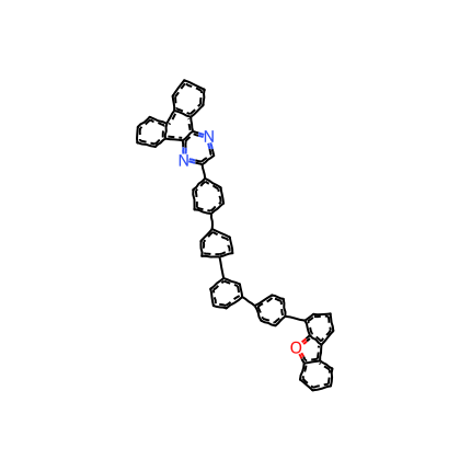 c1cc(-c2ccc(-c3ccc(-c4cnc5c6ccccc6c6ccccc6c5n4)cc3)cc2)cc(-c2ccc(-c3cccc4c3oc3ccccc34)cc2)c1